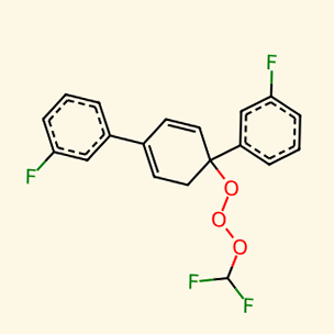 Fc1cccc(C2=CCC(OOOC(F)F)(c3cccc(F)c3)C=C2)c1